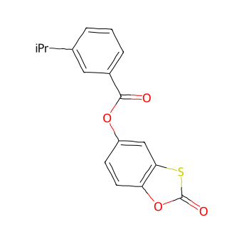 CC(C)c1cccc(C(=O)Oc2ccc3oc(=O)sc3c2)c1